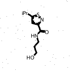 CC(C)c1cc(C(=O)NCCCO)ns1